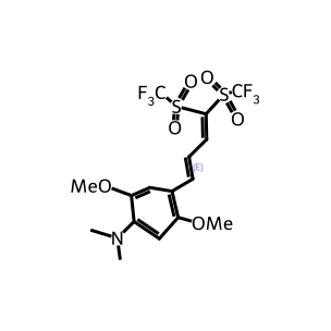 COc1cc(N(C)C)c(OC)cc1/C=C/C=C(S(=O)(=O)C(F)(F)F)S(=O)(=O)C(F)(F)F